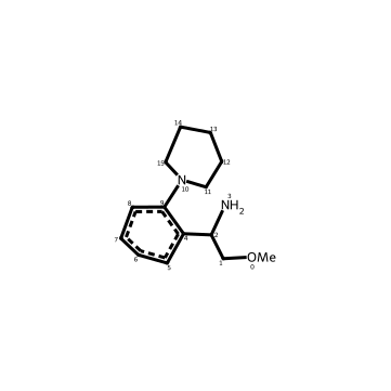 COCC(N)c1ccccc1N1CCCCC1